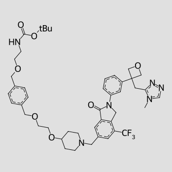 Cn1cnnc1CC1(c2cccc(N3Cc4c(cc(CN5CCC(OCCOCc6ccc(COCCNC(=O)OC(C)(C)C)cc6)CC5)cc4C(F)(F)F)C3=O)c2)COC1